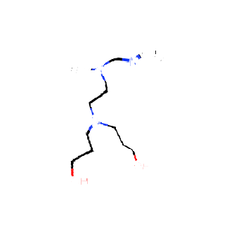 C=NCN(C)CCN(CCCO)CCCO